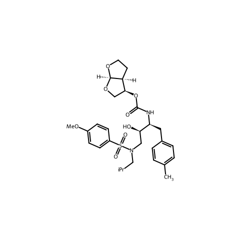 COc1ccc(S(=O)(=O)N(CC(C)C)C[C@@H](O)[C@H](Cc2ccc(C)cc2)NC(=O)O[C@H]2CO[C@H]3OCC[C@H]32)cc1